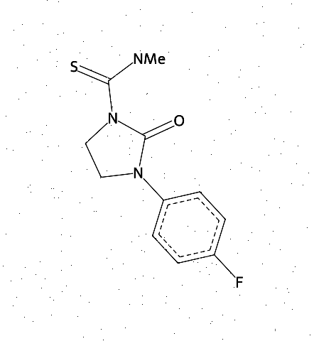 CNC(=S)N1CCN(c2ccc(F)cc2)C1=O